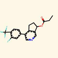 CCC(=O)OC1CCc2c(-c3ccc(C(F)(F)F)c(F)c3)cncc21